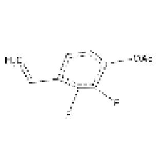 C=Cc1ccc(OC(C)=O)c(F)c1F